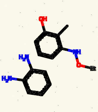 CCONc1cccc(O)c1C.Nc1ccccc1N